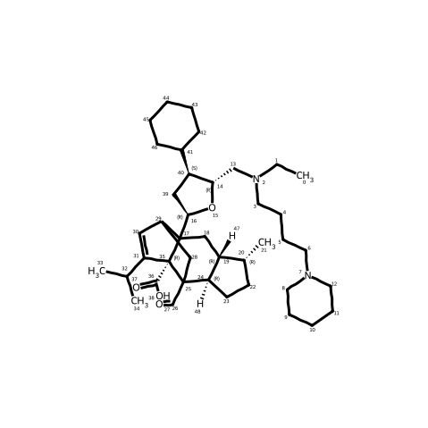 CCN(CCCCN1CCCCC1)C[C@@H]1O[C@@H](C23C[C@@H]4[C@H](C)CC[C@H]4C4(C=O)CC2C=C(C(C)C)[C@]43C(=O)O)C[C@H]1C1CCCCC1